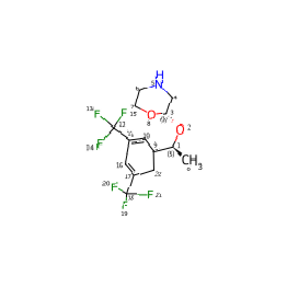 C[C@H](O[C@H]1CNCCO1)C1C=C(C(F)(F)F)C=C(C(F)(F)F)C1